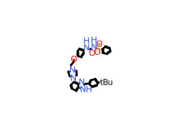 CC(C)(C)c1ccc(-c2nc3c(N4CCN(CCOc5ccc(NC(=O)NS(=O)(=O)c6ccccc6)cc5)CC4)cccc3[nH]2)cc1